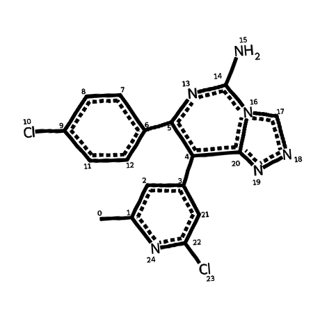 Cc1cc(-c2c(-c3ccc(Cl)cc3)nc(N)n3cnnc23)cc(Cl)n1